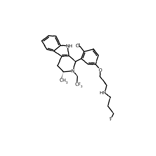 C[C@@H]1Cc2c([nH]c3ccccc23)C(c2cc(OCCNCCCF)ccc2Cl)N1CC(F)(F)F